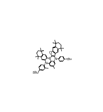 Cc1cc2c3c(c1)N(c1ccc(C(C)(C)C)cc1)c1c(oc4cc5c(cc14)C(C)(C)CCC5(C)C)B3c1cc3c(cc1N2c1ccc(C(C)(C)C)cc1C)C(C)(C)CCC3(C)C